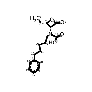 CC[C@@H]1OC(=O)[C@@H]1N(CCCCCc1ccccc1)C(=O)O